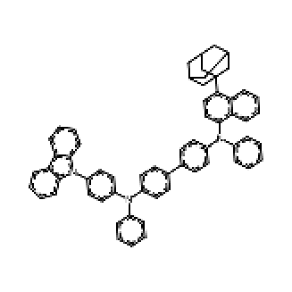 c1ccc(N(c2ccc(-c3ccc(N(c4ccccc4)c4ccc(C56CC7CC(CC(C7)C5)C6)c5ccccc45)cc3)cc2)c2ccc(-n3c4ccccc4c4ccccc43)cc2)cc1